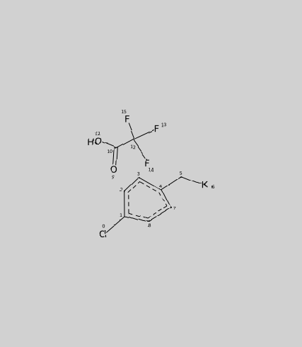 Clc1ccc([CH2][K])cc1.O=C(O)C(F)(F)F